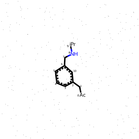 CC(=O)Cc1cccc(CNC(C)C)c1